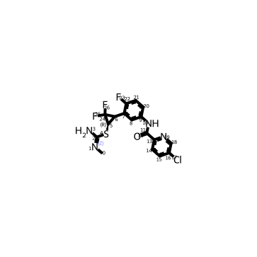 C/N=C(/N)S[C@@H]1C(c2cc(NC(=O)c3ccc(Cl)cn3)ccc2F)C1(F)F